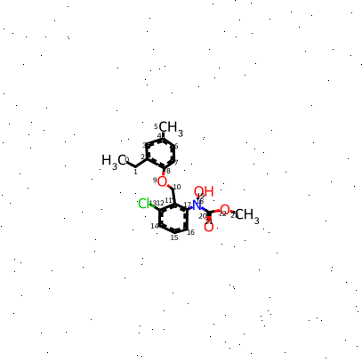 CCc1cc(C)ccc1OCc1c(Cl)cccc1N(O)C(=O)OC